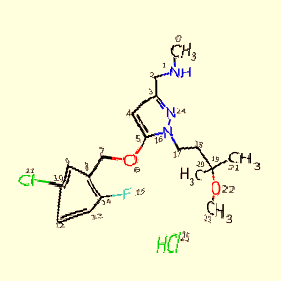 CNCc1cc(OCc2cc(Cl)ccc2F)n(CCC(C)(C)OC)n1.Cl